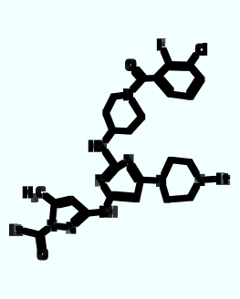 CCC(=O)n1nc(Nc2cc(N3CCN(CC)CC3)nc(NC3CCN(C(=O)c4cccc(Cl)c4F)CC3)n2)cc1C